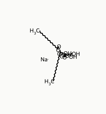 CCCCCCCCCCCCCCCC(=O)OCC(COP(=O)(O)OCC(O)CO)OC(=O)CCCCCCCCCCCCCCC.[Na]